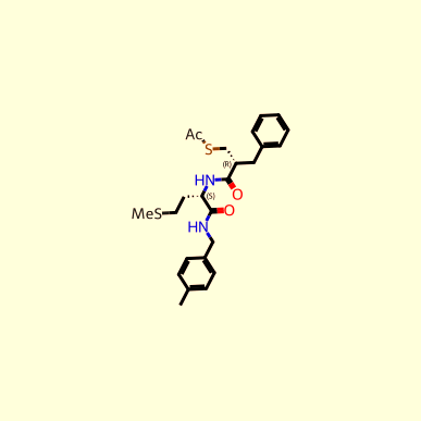 CSCC[C@H](NC(=O)[C@H](CSC(C)=O)Cc1ccccc1)C(=O)NCc1ccc(C)cc1